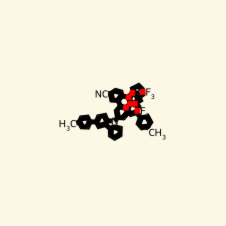 Cc1ccc(-c2ccc3c(c2)c2ccccc2n3-c2ccc(-c3ccc(C(F)(F)F)cc3C(F)(F)F)c(-c3cc(C#N)ccc3-n3c4ccccc4c4cc(-c5ccc(C)cc5)ccc43)c2)cc1